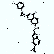 O=c1nc([C@H]2C[C@@H]2c2cccc(Cl)c2)[nH]c2cc(NCc3cn4cc(C5CC5)ccc4n3)ccc12